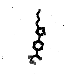 CNC(=O)c1ccc(-n2cc(CCCF)nn2)cc1